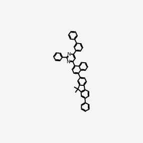 CC1(C)c2cc(-c3ccccc3)ccc2-c2ccc(-c3ccc(-c4cc(-c5cccc(-c6ccccc6)c5)nc(-c5ccccc5)n4)c4ccccc34)cc21